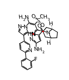 CS(=O)(=O)c1c([C@H]2C[C@H]3CC[C@@H](C2)N3C(=O)c2cc(N)n[nH]2)nc2c(-c3ccc(-c4ccccc4F)nc3)cnn2c1N